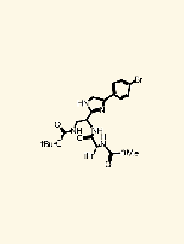 COC(=O)N[C@H](C(=O)N[C@@H](CNC(=O)OC(C)(C)C)C1=NC(c2ccc(Br)cc2)CN1)C(C)C